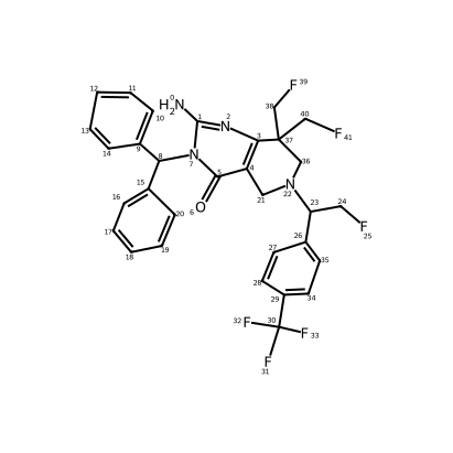 Nc1nc2c(c(=O)n1C(c1ccccc1)c1ccccc1)CN(C(CF)c1ccc(C(F)(F)F)cc1)CC2(CF)CF